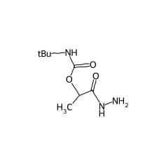 CC(OC(=O)NC(C)(C)C)C(=O)NN